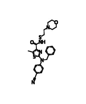 Cc1sc(N(Cc2ccccc2)c2ccc(C#N)cc2)nc1C(=O)NSCCN1CCOCC1